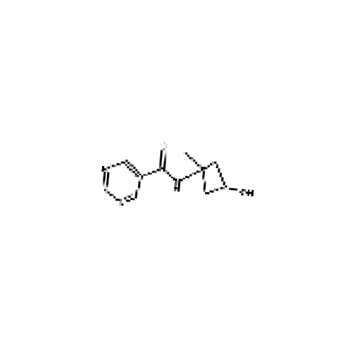 CC1(NC(=O)c2cncnc2)CC(O)C1